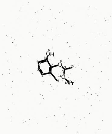 Cc1cccc(O)c1OC(C)OC(C)C